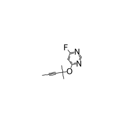 CC#CC(C)(C)Oc1cc(F)ncn1